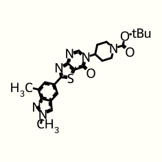 Cc1cc(-c2nc3ncn(C4CCN(C(=O)OC(C)(C)C)CC4)c(=O)c3s2)cc2cn(C)nc12